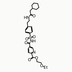 CCOCCOC(=O)c1ccc(C(=O)NS(=O)(=O)c2ccc(CCNC(=O)CC3CCCCC3)cc2)cn1